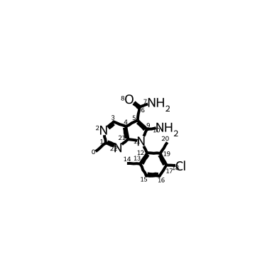 Cc1ncc2c(C(N)=O)c(N)n(-c3c(C)ccc(Cl)c3C)c2n1